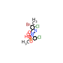 CCS(=O)(=O)c1ccc(Cl)cc1N(C(=O)O)n1cnc2c(Cl)c(C)c(Br)cc2c1=O